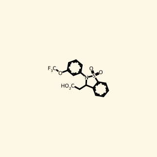 O=C(O)CC1c2ccccc2S(=O)(=O)N1c1cccc(OC(F)(F)F)c1